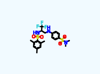 Cc1cc(C)c(S(=O)(=O)NC(CNc2ccc(S(=O)(=O)N(C)C)cc2)C(F)(F)F)c(C)c1